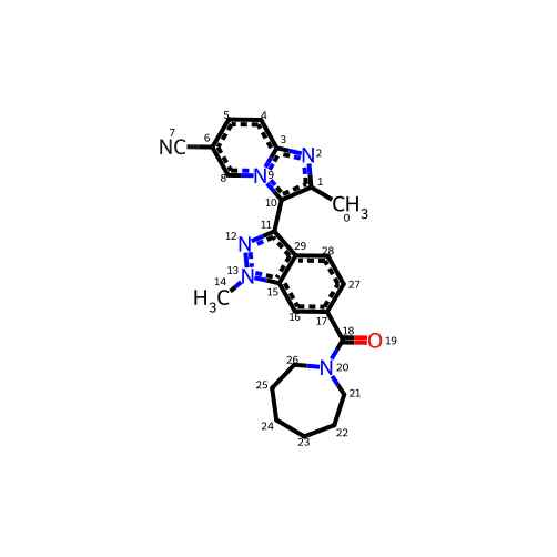 Cc1nc2ccc(C#N)cn2c1-c1nn(C)c2cc(C(=O)N3CCCCCC3)ccc12